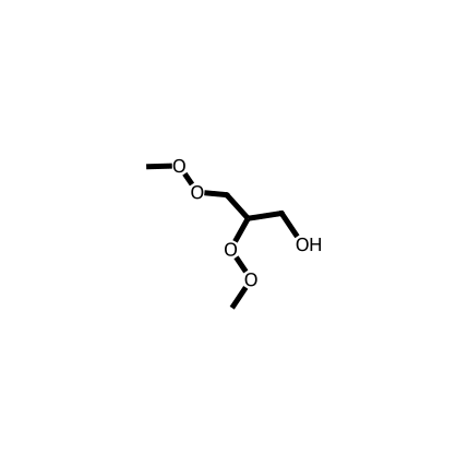 COOCC(CO)OOC